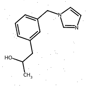 CC(O)Cc1cccc(Cn2ccnc2)c1